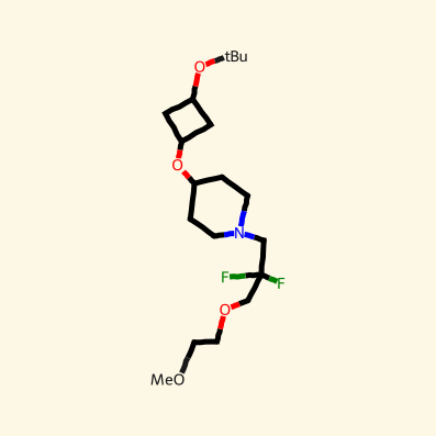 COCCOCC(F)(F)CN1CCC(OC2CC(OC(C)(C)C)C2)CC1